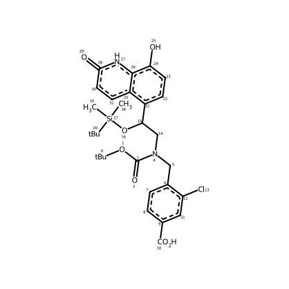 CC(C)(C)OC(=O)N(Cc1ccc(C(=O)O)cc1Cl)CC(O[Si](C)(C)C(C)(C)C)c1ccc(O)c2[nH]c(=O)ccc12